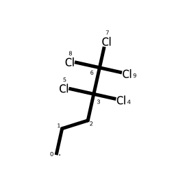 [CH2]CCC(Cl)(Cl)C(Cl)(Cl)Cl